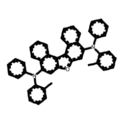 Cc1ccccc1N(c1ccccc1)c1cc2oc3cc(N(c4ccccc4)c4ccccc4C)c4ccccc4c3c2c2ccccc12